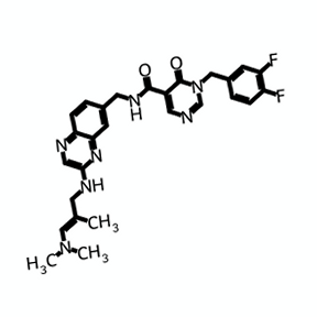 C/C(=C\N(C)C)CNc1cnc2ccc(CNC(=O)c3cncn(Cc4ccc(F)c(F)c4)c3=O)cc2n1